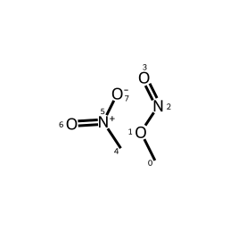 CON=O.C[N+](=O)[O-]